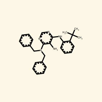 CC(C)(C)c1[c]cccc1Nc1ncnc(N(Cc2ccccc2)Cc2ccccc2)c1N